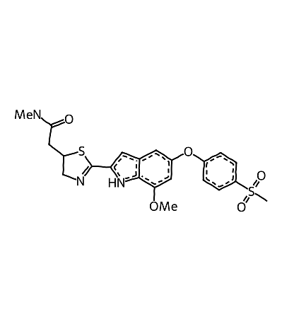 CNC(=O)CC1CN=C(c2cc3cc(Oc4ccc(S(C)(=O)=O)cc4)cc(OC)c3[nH]2)S1